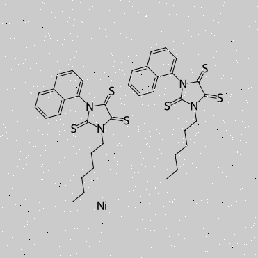 CCCCCCN1C(=S)C(=S)N(c2cccc3ccccc23)C1=S.CCCCCCN1C(=S)C(=S)N(c2cccc3ccccc23)C1=S.[Ni]